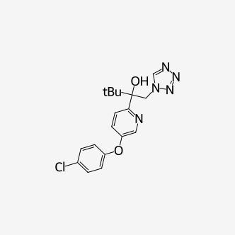 CC(C)(C)C(O)(Cn1cnnn1)c1ccc(Oc2ccc(Cl)cc2)cn1